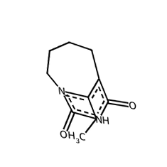 CCc1c2c(=O)[nH]c(=O)n1CCCC2